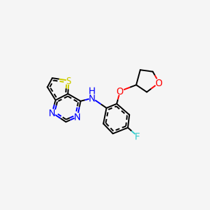 Fc1ccc(Nc2ncnc3ccsc23)c(OC2CCOC2)c1